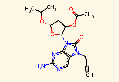 C#CCn1c(=O)n([C@@H]2O[C@H](OC(C)C)C[C@H]2OC(C)=O)c2nc(N)ncc21